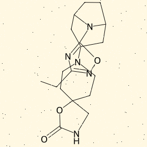 CCc1noc(N2C3CCC2CC(N2CCC4(CC2)CNC(=O)O4)C3)n1